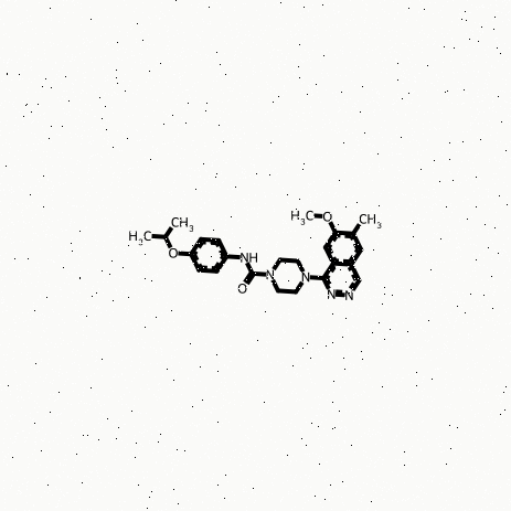 COc1cc2c(N3CCN(C(=O)Nc4ccc(OC(C)C)cc4)CC3)nncc2cc1C